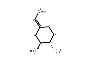 COC=C1CC[C@H](C(=O)O)[C@@H](C(=O)O)C1